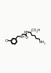 NCCCC[C@H](NC(=O)CNCc1cccc(Cl)c1)C(=O)O